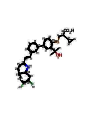 CC(C)(O)c1cc(-c2cccc(C=Cc3ccc4cc(F)c(F)cc4n3)c2)ccc1SCC(C(=O)O)C1CC1